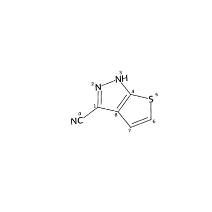 N#Cc1n[nH]c2sccc12